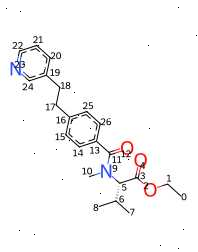 CCOC(=O)[C@H](C(C)C)N(C)C(=O)c1ccc(CCc2cccnc2)cc1